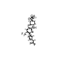 CS(=O)(=O)N1CC[C@@H](Nc2ncc(C(F)(F)F)c(-c3cn(CC(F)F)cn3)n2)[C@H](F)C1